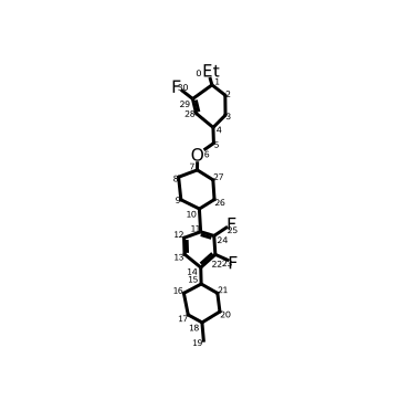 CCC1CCC(COC2CCC(c3ccc(C4CCC(C)CC4)c(F)c3F)CC2)C=C1F